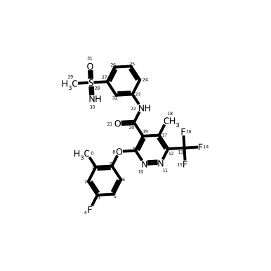 Cc1cc(F)ccc1Oc1nnc(C(F)(F)F)c(C)c1C(=O)Nc1cccc(S(C)(=N)=O)c1